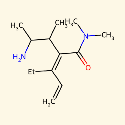 C=C/C(CC)=C(\C(=O)N(C)C)C(C)C(C)N